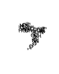 CCOCCOc1ncc(NC(=O)C(C)(C)[C@@H](c2ccc(C)c(CN3C[C@@H](CC)Oc4ncccc4S3(O)O)c2)c2ccc3c(nnn3CC)c2C)cn1